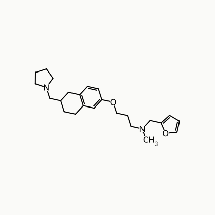 CN(CCCOc1ccc2c(c1)CCC(CN1CCCC1)C2)Cc1ccco1